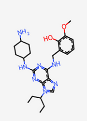 CCC(CC)n1cnc2c(NCc3cccc(OC)c3O)nc(NC3CCC(N)CC3)nc21